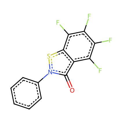 O=c1c2c(F)c(F)c(F)c(F)c2sn1-c1ccccc1